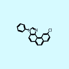 Clc1ccc2ccc3ccc4c(ncn4-c4ccccc4)c3c2c1